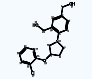 OCc1ccc(N2CCC(Oc3ncccc3Cl)C2)c(CO)c1